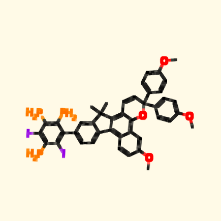 COc1ccc(C2(c3ccc(OC)cc3)C=Cc3c4c(c5ccc(OC)cc5c3O2)-c2ccc(-c3c(P)c(P)c(I)c(P)c3I)cc2C4(C)C)cc1